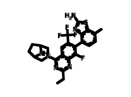 CCc1nc(N2CC3CCC(C2)N3)c2cc(C(F)(F)F)c(-c3ccc(C)c4sc(N)nc34)c(F)c2n1